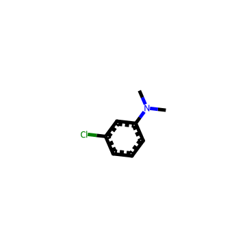 CN(C)c1cccc(Cl)c1